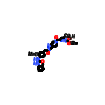 COc1cc(CC(=O)NCC2CCN(C(=O)CC[C@H](NC(=O)OC(C)(C)C)C(=O)O)CC2)ccc1NC(=O)Nc1ccccc1C